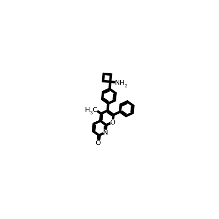 Cc1c2ccc(=O)nc-2oc(-c2ccccc2)c1-c1ccc(C2(N)CCC2)cc1